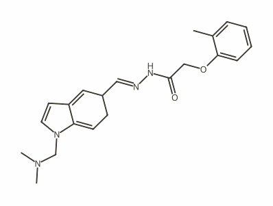 Cc1ccccc1OCC(=O)N/N=C/C1C=c2ccn(CN(C)C)c2=CC1